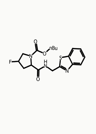 CCCCOC(=O)N1CC(F)CC1C(=O)NCc1nc2ccccc2s1